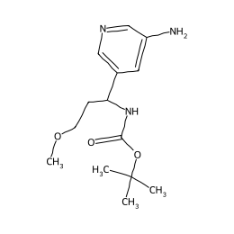 COCCC(NC(=O)OC(C)(C)C)c1cncc(N)c1